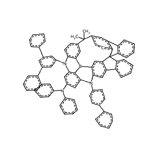 CC1(C)c2ccc3c(c2)B2c4cc5c(cc4N(c4ccc(-c6ccccc6)cc4)c4cc(N(c6ccccc6)c6ccccc6)cc(c42)N3c2cc(-c3ccccc3)cc(-c3ccccc3)c2)-c2ccccc2C52c3ccccc3-c3cc1ccc32